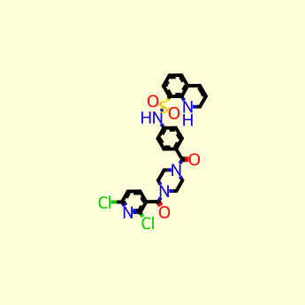 O=C(c1ccc(NS(=O)(=O)c2cccc3c2NCC=C3)cc1)N1CCN(C(=O)c2ccc(Cl)nc2Cl)CC1